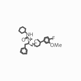 COc1cc(C2CCN(C[C@@H](Cc3ccccc3)N(C)C(=O)NC3CCCCC3)CC2)ccc1F